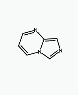 [c]1cnc2cncn2c1